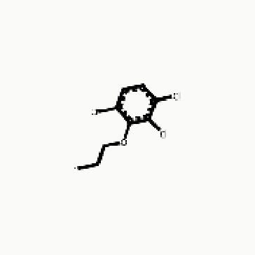 [CH2]CCOc1c(Cl)ccc(Cl)c1Cl